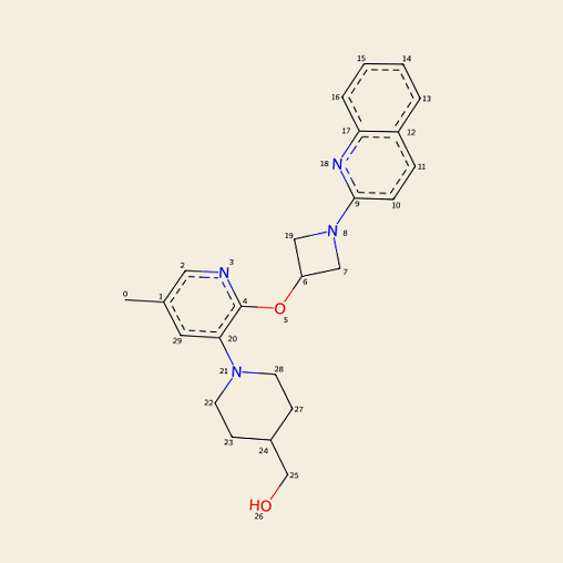 Cc1cnc(OC2CN(c3ccc4ccccc4n3)C2)c(N2CCC(CO)CC2)c1